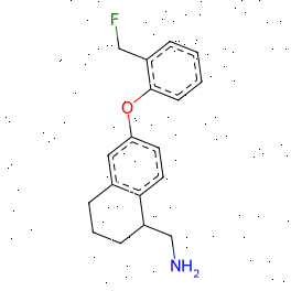 NCC1CCCc2cc(Oc3ccccc3CF)ccc21